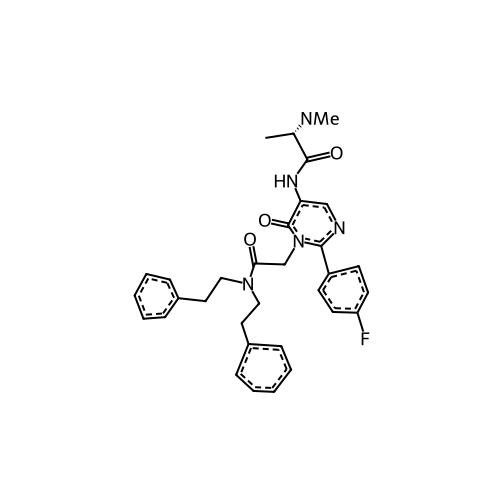 CN[C@@H](C)C(=O)Nc1cnc(-c2ccc(F)cc2)n(CC(=O)N(CCc2ccccc2)CCc2ccccc2)c1=O